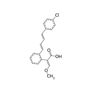 CO/C=C(/C(=O)O)c1ccccc1/C=C/C=C/c1ccc(Cl)cc1